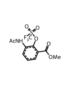 COC(=O)c1cccc(NC(C)=O)c1OS(=O)(=O)C(F)(F)F